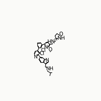 COc1nc(-c2cccc(-c3ccnc(-c4ccc5c(CNCC(C)C)cn(C)c5c4)c3Cl)c2Cl)ccc1CNC[C@@H]1CCC(=O)N1